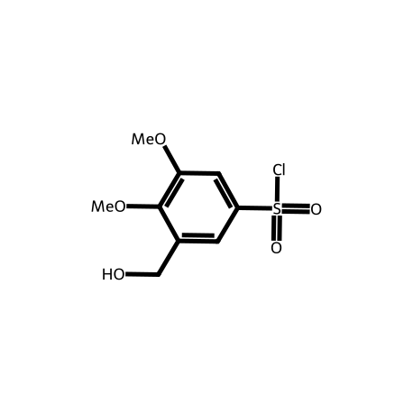 COc1cc(S(=O)(=O)Cl)cc(CO)c1OC